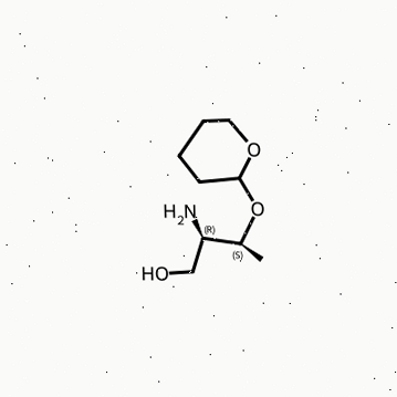 C[C@H](OC1CCCCO1)[C@H](N)CO